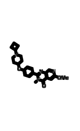 COc1cc2c(=O)n(C)c(-c3ccc(OC4CCN(C5CCC5)CC4)cc3)nc2cn1